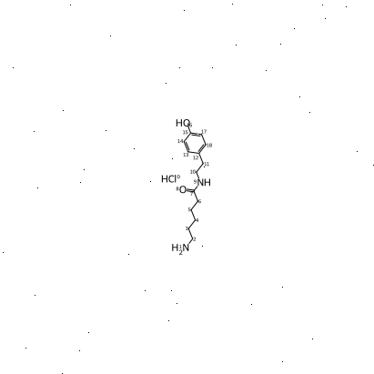 Cl.NCCCCCC(=O)NCCc1ccc(O)cc1